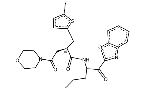 CCCC(NC(=O)[C@@H](CC(=O)N1CCOCC1)Cc1ccc(C)s1)C(=O)c1nc2ccccc2o1